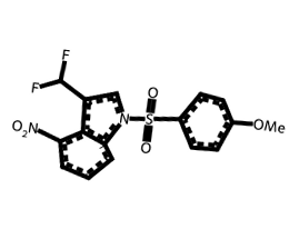 COc1ccc(S(=O)(=O)n2cc(C(F)F)c3c([N+](=O)[O-])cccc32)cc1